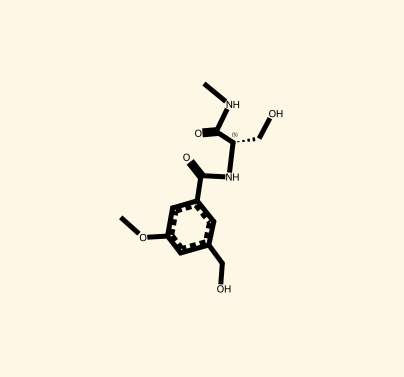 CNC(=O)[C@H](CO)NC(=O)c1cc(CO)cc(OC)c1